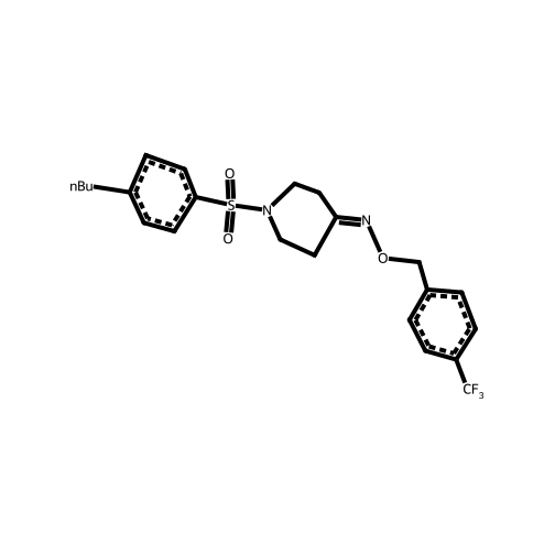 CCCCc1ccc(S(=O)(=O)N2CCC(=NOCc3ccc(C(F)(F)F)cc3)CC2)cc1